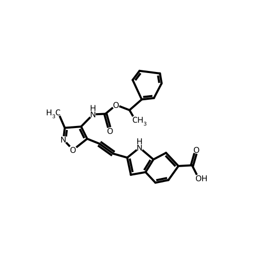 Cc1noc(C#Cc2cc3ccc(C(=O)O)cc3[nH]2)c1NC(=O)OC(C)c1ccccc1